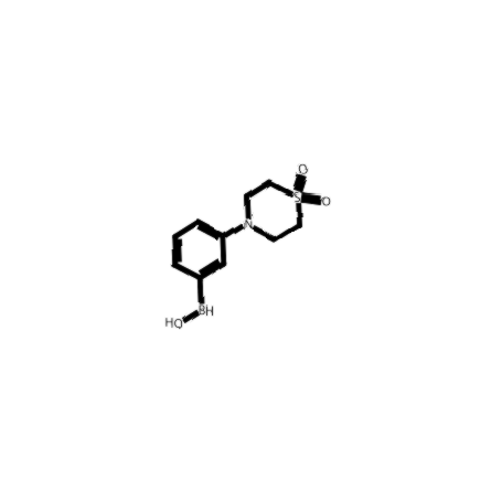 O=S1(=O)CCN(c2cccc(BO)c2)CC1